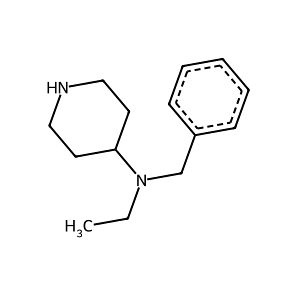 CCN(Cc1ccccc1)C1CCNCC1